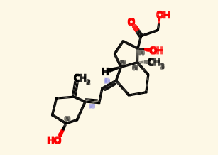 C=C1CC[C@H](O)C/C1=C/C=C1\CCC[C@@]2(C)[C@H]1CC[C@]2(O)C(=O)CO